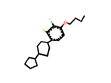 CCCCOc1ccc(C2CCC(C3CCCC3)CC2)c(F)c1F